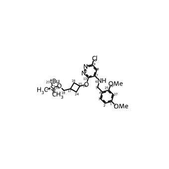 COc1ccc(CNc2cc(Cl)nnc2OC2CC(CO[Si](C)(C)C(C)(C)C)C2)c(OC)c1